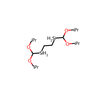 CC(C)OC(OC(C)C)[SiH2]CC[SiH2]C(OC(C)C)OC(C)C